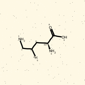 [2H]C(CN)C[C@H](N)C(=O)O